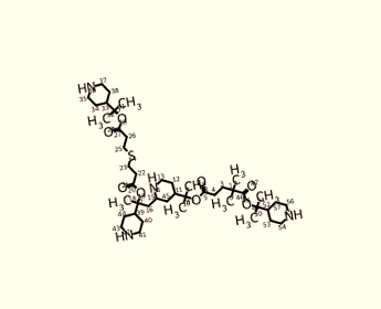 CC(C)(CCC(=O)OC(C)(C)C1CCNC(CC(C)(OC(=O)CCSCCC(=O)OC(C)(C)C2CCNCC2)C2CCNCC2)C1)C(=O)OC(C)(C)C1CCNCC1